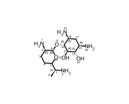 C[C@H](N)C1CC[C@@H](N)[C@@H](O[C@H]2[C@H](O)[C@@H](O)[C@H](N)C[C@@H]2N)O1